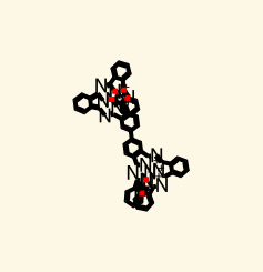 c1ccc2c(c1)C1=Nc3c4ccccc4c4n3[N+]35n6c(c7ccccc7c6=NC6=[N+]3C(=N4)c3cc(-c4ccc7c(c4)C4=[N+]8C7=Nc7c9ccccc9c9n7[N+]87n8c(c%10ccccc%10c8=N4)=NC4=[N+]7C(=N9)c7ccccc74)ccc36)=NC2=[N+]15